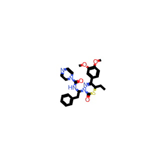 CCC1SC(=O)N(C(Cc2ccccc2)NC(=O)N2C=CN=CC2)N=C1c1ccc(OC)c(OC)c1